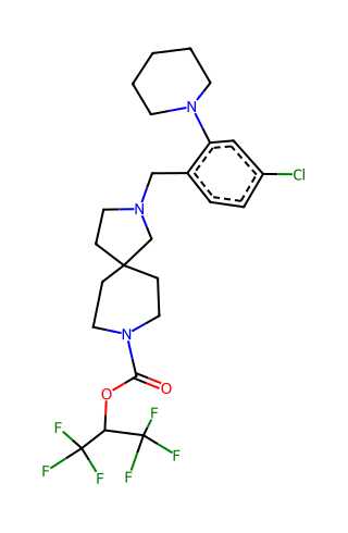 O=C(OC(C(F)(F)F)C(F)(F)F)N1CCC2(CCN(Cc3ccc(Cl)cc3N3CCCCC3)C2)CC1